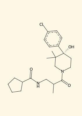 CC(CNC(=O)C1CCCC1)C(=O)N1CC[C@](O)(c2ccc(Cl)cc2)C(C)(C)C1